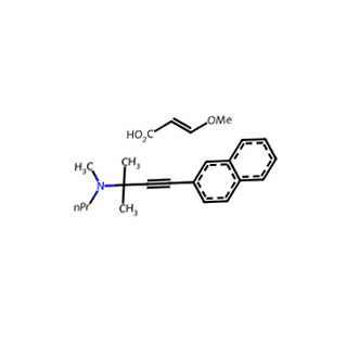 CCCN(C)C(C)(C)C#Cc1ccc2ccccc2c1.COC=CC(=O)O